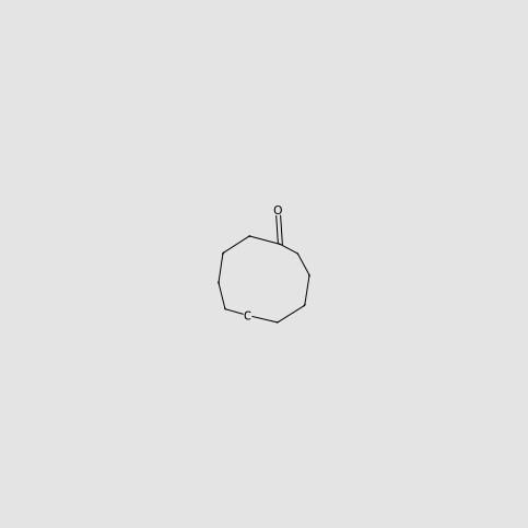 O=C1CCCCCCCCC1